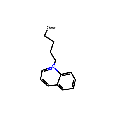 COCCCC[n+]1cccc2ccccc21